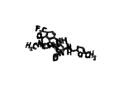 CC1=CCC(CNc2n[s+]([O-])nc2Nc2ccc(C(F)(F)F)c(C(=O)N(C)C)c2O)O1